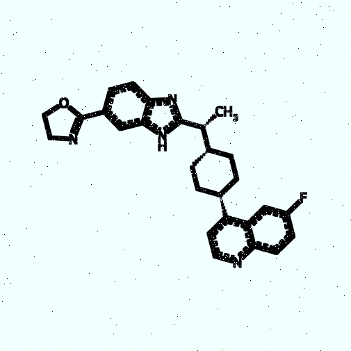 C[C@@H](c1nc2ccc(C3=NCCO3)cc2[nH]1)[C@H]1CC[C@@H](c2ccnc3ccc(F)cc32)CC1